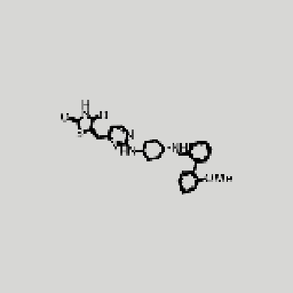 COc1ccccc1-c1ccccc1CN[C@H]1CC[C@H](Nc2nccc(C=C3SC(=O)NC3=O)n2)CC1